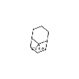 CC(=O)OC1(N=O)C2CCCC1CCC2